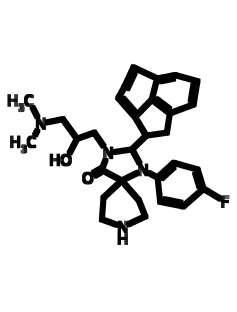 CN(C)CC(O)CN1C(=O)C2(CCNCC2)N(c2ccc(F)cc2)C1C1Cc2cccc3cccc1c23